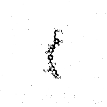 C[C@H](N)CCCc1cc(Cl)c(F)c(-c2cc3cn(-c4ccc([C@H](C)NCC[C@@H](Cc5c[nH]nn5)NC(=N)N)cc4)c(=O)nc3[nH]2)c1